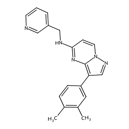 Cc1ccc(-c2cnn3ccc(NCc4cccnc4)nc23)cc1C